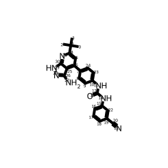 CC(C)(C)c1cc(-c2ccc(NC(=O)Nc3cccc(C#N)c3)cc2)c2c(N)n[nH]c2n1